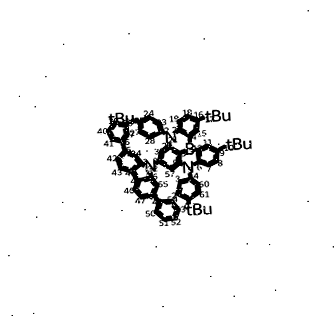 CC(C)(C)c1ccc(N2c3ccc(C(C)(C)C)cc3B3c4cc(C(C)(C)C)ccc4N(c4ccc(C(C)(C)C)cc4)c4cc(-n5c6cc(-c7ccccc7)ccc6c6ccc(-c7ccccc7)cc65)cc2c43)cc1